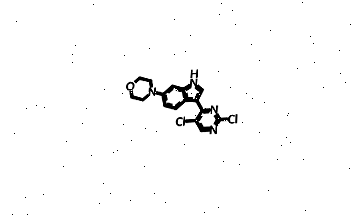 Clc1ncc(Cl)c(-c2c[nH]c3cc(N4CCOCC4)ccc23)n1